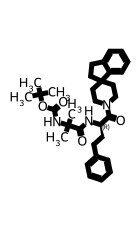 CC(C)(C)OC(=O)NC(C)(C)C(=O)N[C@H](CCc1ccccc1)C(=O)N1CCC2(CCc3ccccc32)CC1